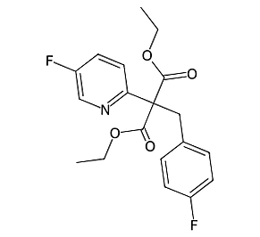 CCOC(=O)C(Cc1ccc(F)cc1)(C(=O)OCC)c1ccc(F)cn1